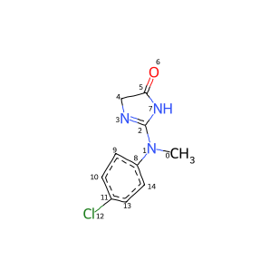 CN(C1=NCC(=O)N1)c1ccc(Cl)cc1